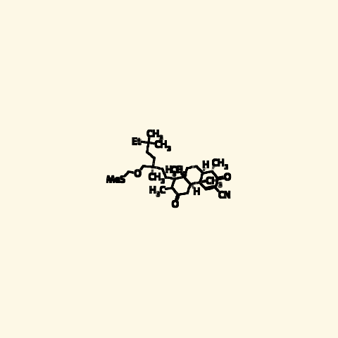 CCC(C)(C)CC[C@@](C)(CC[C@]1(C)C(C)C(=O)C[C@@H]2[C@@]3(C)C=C(C#N)C(=O)[C@@H](C)[C@@H]3CC[C@]21C)COCSC